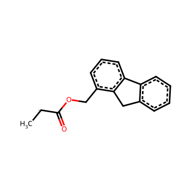 C[CH]C(=O)OCc1cccc2c1Cc1ccccc1-2